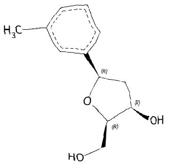 Cc1cccc([C@H]2C[C@@H](O)[C@@H](CO)O2)c1